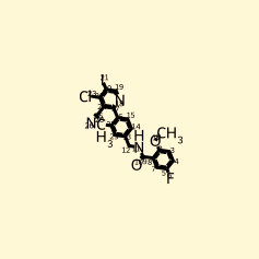 COc1ccc(F)cc1C(=O)NCc1ccc(-c2ncc(I)c(Cl)c2C#N)c(C)c1